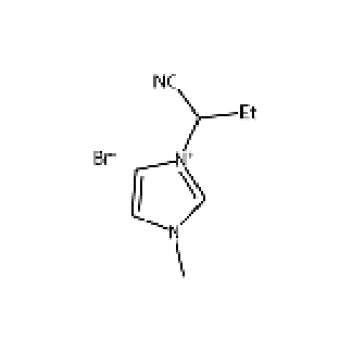 CCC(C#N)[n+]1ccn(C)c1.[Br-]